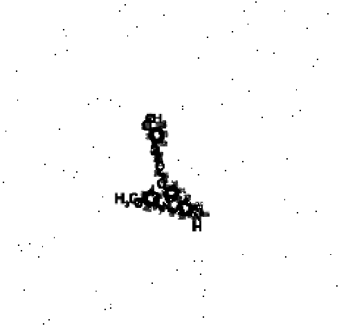 COc1cccc(CN(Cc2ccc3nc[nH]c3c2)c2cccc(OCCOCCOc3cccc(OC)c3)c2)c1